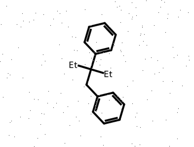 CCC(CC)(Cc1ccccc1)c1ccccc1